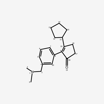 CN(C)Cc1cccc(C2=C(C3CCCC3)CCC2=O)c1